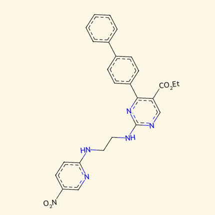 CCOC(=O)c1cnc(NCCNc2ccc([N+](=O)[O-])cn2)nc1-c1ccc(-c2ccccc2)cc1